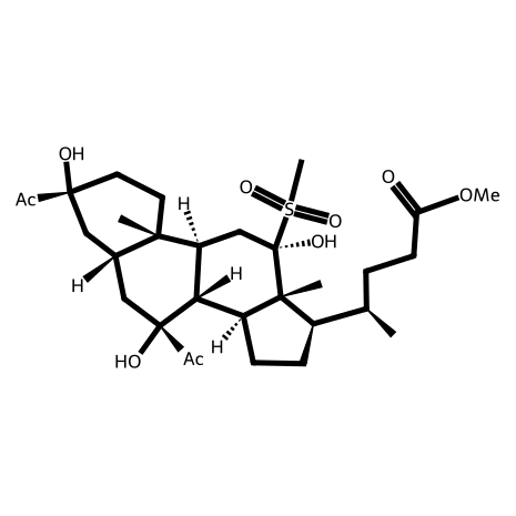 COC(=O)CC[C@@H](C)[C@H]1CC[C@H]2[C@H]3[C@H](C[C@@](O)(S(C)(=O)=O)[C@]12C)[C@@]1(C)CC[C@](O)(C(C)=O)C[C@H]1C[C@]3(O)C(C)=O